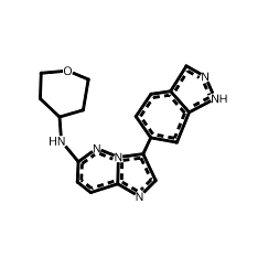 c1cc2cn[nH]c2cc1-c1cnc2ccc(NC3CCOCC3)nn12